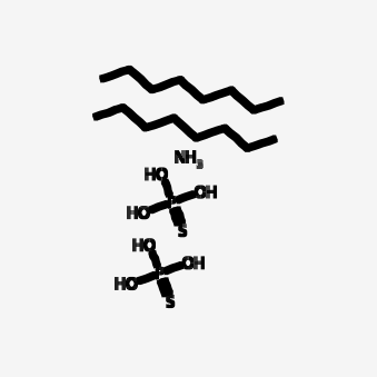 CCCCCCCC.CCCCCCCC.N.OP(O)(O)=S.OP(O)(O)=S